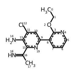 CCOc1ncccc1-c1cc(Cl)c(N)c(C(C)=N)n1